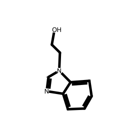 OCCn1[c]nc2ccccc21